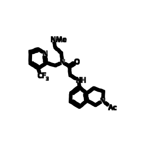 CNCCN(Cc1ncccc1C(F)(F)F)C(=O)CNc1cccc2c1CCN(C(C)=O)C2